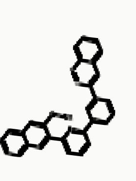 COc1cc2ccccc2cc1-c1cccc(-c2cccc(-c3cc4ccccc4nn3)c2)n1